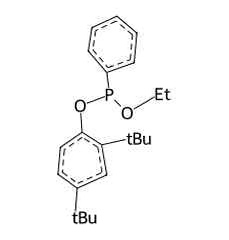 CCOP(Oc1ccc(C(C)(C)C)cc1C(C)(C)C)c1ccccc1